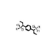 CCC(c1ccc(C(CC)[Si](Cl)(Cl)Cl)cc1)[Si](Cl)(Cl)Cl